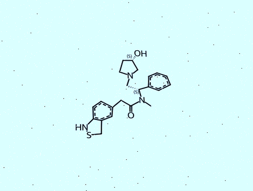 CN(C(=O)Cc1ccc2c(c1)CSN2)[C@H](CN1CC[C@H](O)C1)c1ccccc1